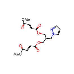 COC(=O)/C=C/C(=O)OCC(COC(=O)/C=C/C(=O)OC)Cn1cccn1